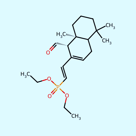 CCOP(=O)(/C=C/C1=CCC2C(C)(C)CCC[C@]2(C)[C@H]1C=O)OCC